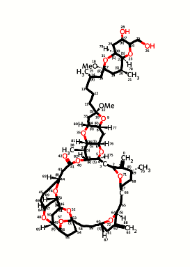 C=C1C2C[C@@H]3O[C@H]4C[C@H]5O[C@](CCC[C@@H](C)C[C@]6(OC)C[C@H](C)[C@@H]7OC(CO)[C@H](O)C[C@@H]7O6)(OC)C[C@H]5O[C@H]4[C@H](C)[C@H]3OC(=O)C[C@H]3CC[C@@H]4O[C@@H]5C[C@@H](O[C@]6(CCC5O6)CC[C@H]5CC(=C)[C@H](CCC(C[C@H]1C)O2)O5)[C@H]4O3